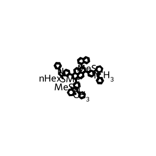 CCCCCCC1(SC)CN(c2ccccc2)c2ccc(-c3cc(-c4ccc5c(c4)C4(SC)CCCCC4(C)N5c4ccccc4)c4ccc5c(-c6ccc7c(c6)C6(SC)CCCCC6(C)N7c6ccccc6)cc(-c6cccc7ccccc67)c6ccc3c4c56)cc21